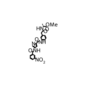 COC(=O)[C@H](C)NC(=O)Cc1cccc(NC(=O)c2cc(NC(=O)c3cccc([N+](=O)[O-])c3)cn2C)c1